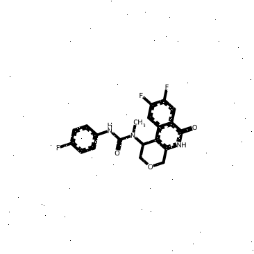 CN(C(=O)Nc1ccc(F)cc1)C1COCc2[nH]c(=O)c3cc(F)c(F)cc3c21